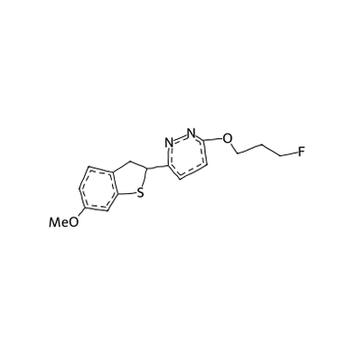 COc1ccc2c(c1)SC(c1ccc(OCCCF)nn1)C2